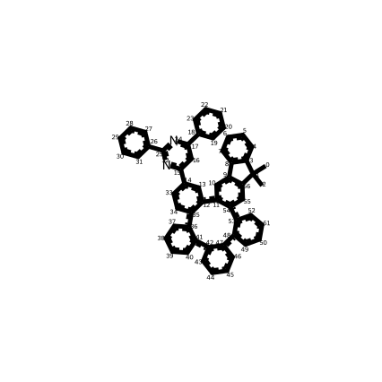 CC1(C)c2ccccc2-c2cc3c4cc(-c5cc(-c6ccccc6)nc(-c6ccccc6)n5)ccc4c4ccccc4c4ccccc4c4ccccc4c3cc21